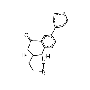 CN1CC[C@H]2CC(=O)c3cc(-c4ccccc4)ccc3[C@H]2C1